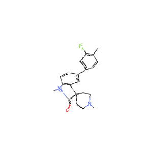 Cc1ccc(-c2ccc3c(c2)C2(CCN(C)CC2)C(=O)N3C)cc1F